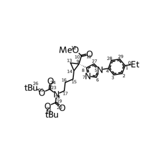 CCc1ccc(-n2cnc([C@@]3(C(=O)OC)CC3CCCN(C(=O)OC(C)(C)C)C(=O)OC(C)(C)C)c2)cc1